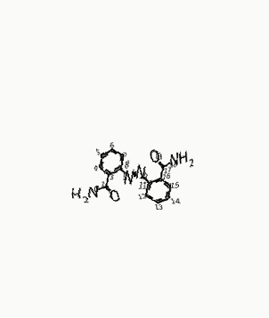 NC(=O)c1ccccc1N=Nc1ccccc1C(N)=O